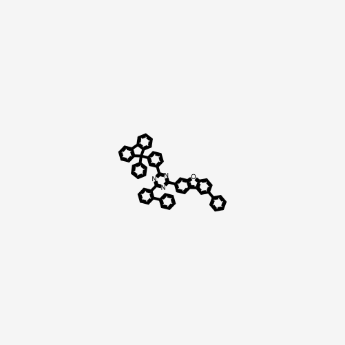 c1ccc(-c2ccc3oc4cc(-c5nc(-c6cccc(C7(c8ccccc8)c8ccccc8-c8ccccc87)c6)nc(-c6ccccc6-c6ccccc6)n5)ccc4c3c2)cc1